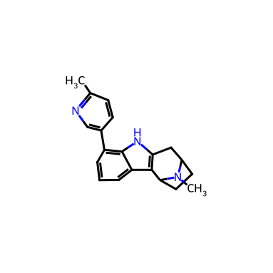 Cc1ccc(-c2cccc3c4c([nH]c23)CC2CCC4N2C)cn1